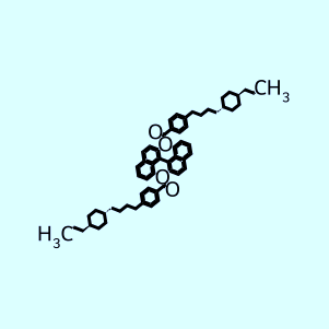 CCC[C@H]1CC[C@H](CCCCc2ccc(C(=O)Oc3ccc4ccccc4c3-c3c(OC(=O)c4ccc(CCCC[C@H]5CC[C@H](CCC)CC5)cc4)ccc4ccccc34)cc2)CC1